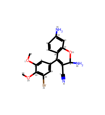 COc1cc(C2=C(C#N)C(N)Oc3cc(N)ccc32)cc(Br)c1OC